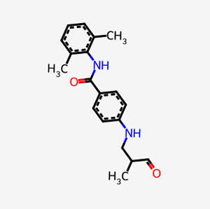 Cc1cccc(C)c1NC(=O)c1ccc(NCC(C)C=O)cc1